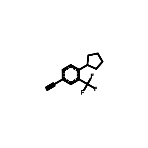 C#Cc1ccc(C2CCCC2)c(C(F)(F)F)c1